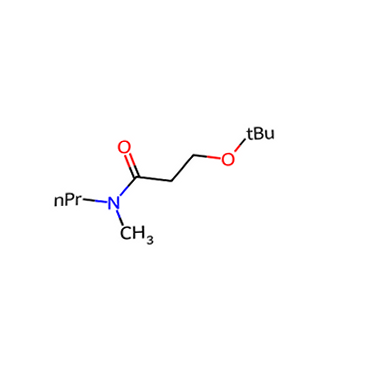 CCCN(C)C(=O)CCOC(C)(C)C